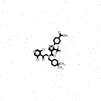 CC1(C)CCC(CN(CC(=O)c2c(Cl)cncc2Cl)C(=O)c2cnn(C3CCC(C(=O)O)CC3)c2C(F)(F)F)CC1